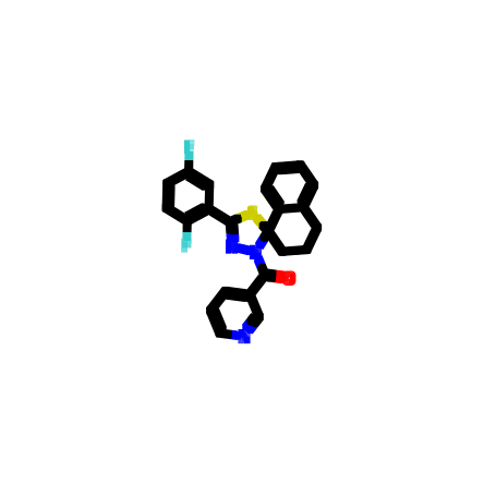 O=C(c1cccnc1)N1N=C(c2cc(F)ccc2F)SC12CCCc1ccccc12